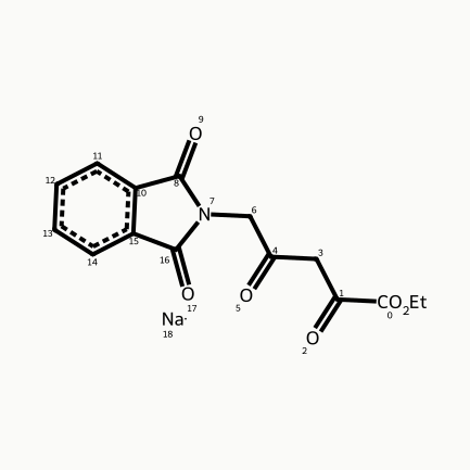 CCOC(=O)C(=O)CC(=O)CN1C(=O)c2ccccc2C1=O.[Na]